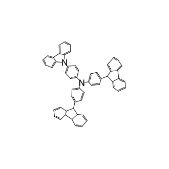 C1=CC2C3C=CC=CC3C(c3ccc(N(c4ccc(C5c6ccccc6-c6ccccc65)cc4)c4ccc(-n5c6ccccc6c6ccccc65)cc4)cc3)C2C=C1